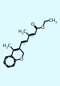 CCOC(=O)/C=C(C)/C=C/C1=C(C)c2ccccc2OC1